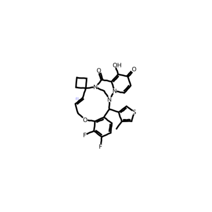 Cc1cscc1C1c2ccc(F)c(F)c2OC/C=C/C2(CCC2)N2CN1n1ccc(=O)c(O)c1C2=O